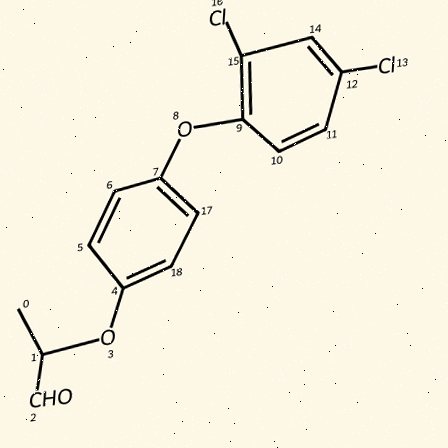 CC(C=O)Oc1ccc(Oc2ccc(Cl)cc2Cl)cc1